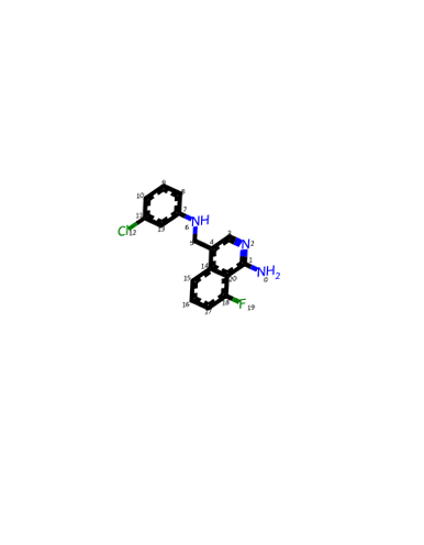 Nc1ncc(CNc2cccc(Cl)c2)c2cccc(F)c12